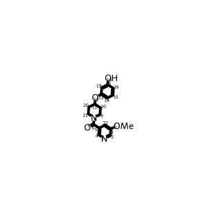 COc1cncc(C(=O)N2CCC(Oc3cccc(O)c3)CC2)c1